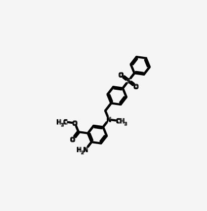 COC(=O)c1cc(N(C)Cc2ccc(S(=O)(=O)c3ccccc3)cc2)ccc1N